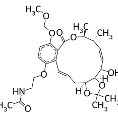 COCOc1ccc(OCCNC(C)=O)c2c1C(=O)O[C@@H](C)[C@H](C)/C=C\C(O)[C@H]1OC(C)(C)O[C@H]1C/C=C/2